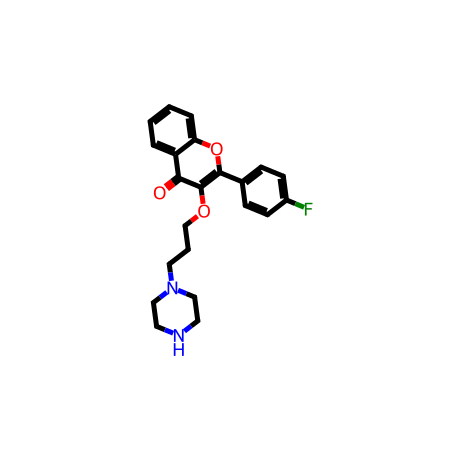 O=c1c(OCCCN2CCNCC2)c(-c2ccc(F)cc2)oc2ccccc12